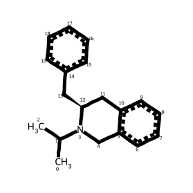 CC(C)N1Cc2ccccc2C[C@@H]1Cc1ccccc1